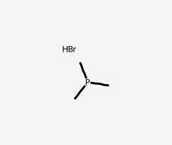 Br.CP(C)C